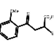 CCC(CC(=O)c1ccccc1OC)C(=O)O